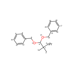 CCCC(C)(C)C(OCc1ccccc1)OCc1ccccc1